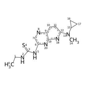 CCNC(=S)Nc1cnc2ccc(N(C)C3CC3)nc2n1